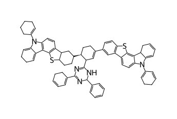 C1=CCCC(C2=NC(c3ccccc3)NC(C3C=C(c4ccc5sc6c7c(ccc6c5c4)N(C4=CCCC=C4)C4=CC=CCC47)CC[C@@H]3C3CCC4Sc5c(ccc6c5c5c(n6C6=CCCCC6)=CCCC=5)C4C3)=N2)=C1